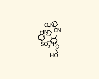 Cc1cc(OCCO)cc(C)c1[C@@H]1CN[C@H](C(=O)N2CCC[C@H]2C#N)C1.Cc1ccc(S(=O)(=O)O)cc1